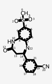 CS(=O)(=O)c1ccc2c(c1)NC(=O)CC(c1cccc(C#N)c1)=N2